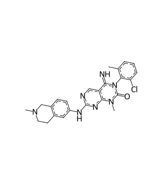 Cc1cccc(Cl)c1-n1c(=N)c2cnc(Nc3ccc4c(c3)CCN(C)C4)nc2n(C)c1=O